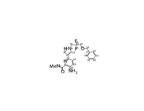 CNC(=O)c1nc(-c2cnn(CC(F)(F)COCc3ccccc3)c2)ccc1N